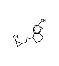 CC1CC1COC1CCCc2nc(C#N)ccc21